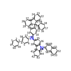 c1ccc(-c2ccc(N(c3ccc(C4(c5ccccc5)c5ccccc5-c5ccccc54)cc3)c3ccc4c(c3)c3ccccc3n4-c3ccc4ccccc4c3)cc2)cc1